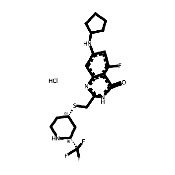 Cl.O=c1[nH]c(CS[C@H]2CCN[C@@H](C(F)(F)F)C2)nc2cc(NC3CCCC3)cc(F)c12